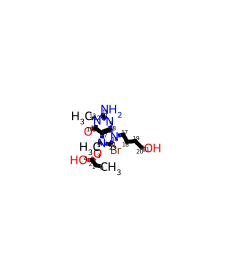 CCC(=O)O.CN1c2c(nc(N)n(C)c2=O)N(CCCCO)C1Br